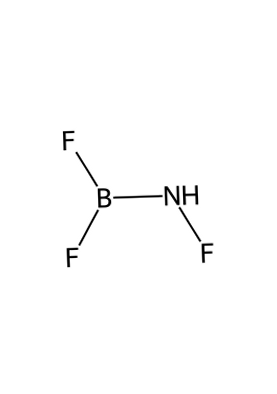 FNB(F)F